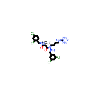 N=C(N)NCCC[C@@H](C(=O)O)N(NCc1cc(Cl)cc(Cl)c1)C(=O)CC(=O)NCc1ccc(Cl)cc1Cl